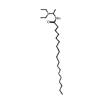 CCCCCCCCCCCCCCCCCC(=O)NC(C)N(CC)CC